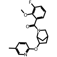 COc1c(F)cccc1C(=O)N1CC2CC(Oc3ccc(C)cn3)C1C2